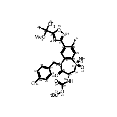 COC(F)(c1nc(-c2cc3c(cc2F)S(=N)(=O)C[C@H](NC(=O)OC(C)(C)C)C(=O)N3Cc2ccc(Cl)cc2)no1)C(F)(F)F